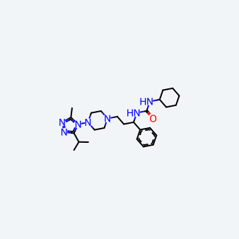 Cc1nnc(C(C)C)n1N1CCN(CCC(NC(=O)NC2CCCCC2)c2ccccc2)CC1